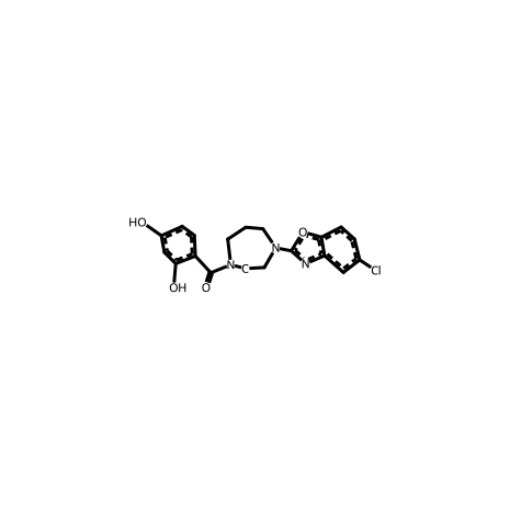 O=C(c1ccc(O)cc1O)N1CCCN(c2nc3cc(Cl)ccc3o2)CC1